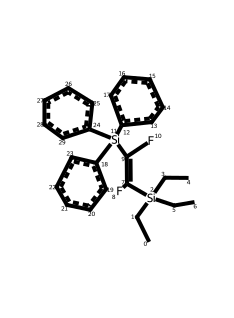 CC[Si](CC)(CC)/C(F)=C(\F)[Si](c1ccccc1)(c1ccccc1)c1ccccc1